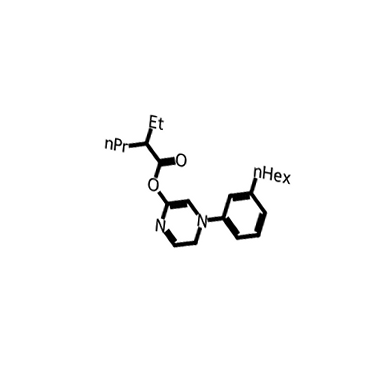 CCCCCCc1cccc(N2C=C(OC(=O)C(CC)CCC)N=CC2)c1